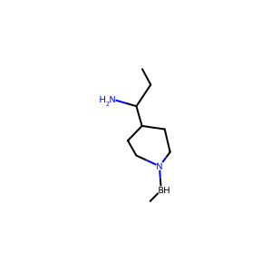 CBN1CCC(C(N)CC)CC1